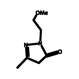 COCCN1N=C(C)CC1=O